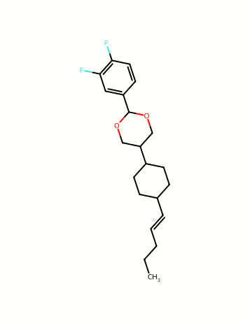 CCC/C=C/C1CCC(C2COC(c3ccc(F)c(F)c3)OC2)CC1